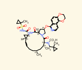 C[C@H]1CCC=C[C@@H]2C[C@@]2(C(=O)NS(=O)(=O)C2(C)CC2)NC(=O)[C@@H]2C[C@@H](Oc3nccc4c5c(ccc34)OCCO5)CN2C(=O)[C@@H](N(CC2(C)CC2)C(=O)O)[C@H](C)C1